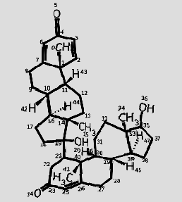 C[C@]12C=CC(=O)C=C1CC[C@@H]1[C@H]2CC[C@@]2(C)[C@H]1CCC2(O)C1CC(=O)C=C2CC[C@@H]3[C@@H](CC[C@]4(C)C(O)CC[C@@H]34)[C@]21C